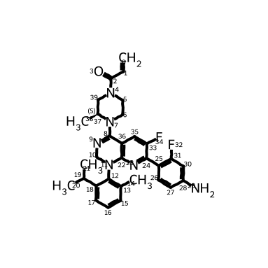 C=CC(=O)N1CCN(C2=NCN(c3c(C)cccc3C(C)C)c3nc(-c4ccc(N)cc4F)c(F)cc32)[C@@H](C)C1